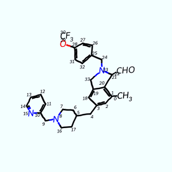 Cc1cc(CC2CCN(Cc3ccccn3)CC2)cc2c1C(C=O)N(Cc1ccc(OC(F)(F)F)cc1)C2